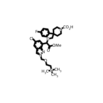 COC(=O)C(OCC1(c2ccc(F)cc2)CCN(C(=O)O)CC1)c1cc(Cl)cc2cn(COCC[Si](C)(C)C)nc12